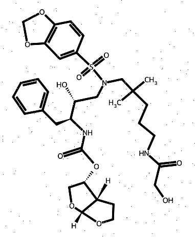 CC(C)(CCCNC(=O)CO)CN(C[C@@H](O)[C@H](Cc1ccccc1)NC(=O)O[C@H]1CO[C@H]2OCC[C@H]21)S(=O)(=O)c1ccc2c(c1)OCO2